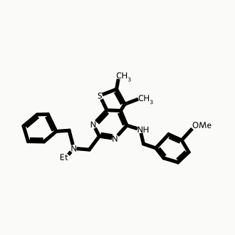 CCN(Cc1ccccc1)Cc1nc(NCc2cccc(OC)c2)c2c(C)c(C)sc2n1